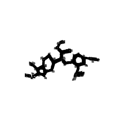 COc1ccc(CN(C(=O)OC(C)(C)C)C2COc3c(sc(C(=O)O)c3Br)C2)c(OC)c1